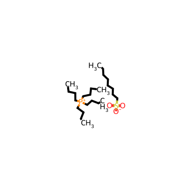 CCCCCCCCS(=O)(=O)[O-].CCCC[P+](CCCC)(CCCC)CCCC